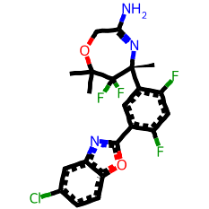 CC1(C)OCC(N)=N[C@](C)(c2cc(-c3nc4cc(Cl)ccc4o3)c(F)cc2F)C1(F)F